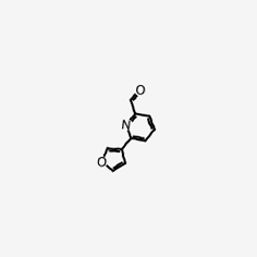 O=Cc1cccc(-c2ccoc2)n1